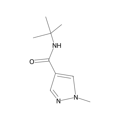 Cn1cc(C(=O)NC(C)(C)C)cn1